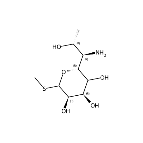 CSC1O[C@H]([C@H](N)[C@@H](C)O)C(O)[C@@H](O)[C@H]1O